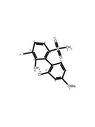 COc1ccc(-c2c(S(C)(=O)=O)ccc(I)c2C)c(Cl)c1